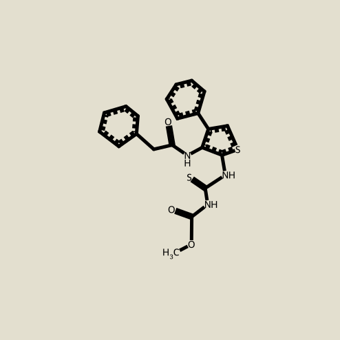 COC(=O)NC(=S)Nc1scc(-c2ccccc2)c1NC(=O)Cc1ccccc1